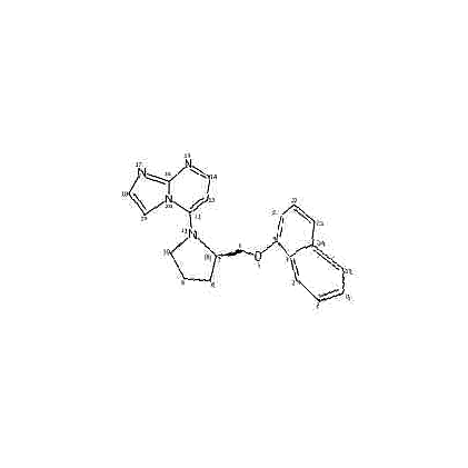 c1ccc2c(OC[C@H]3CCCN3c3ccnc4nccn34)cccc2c1